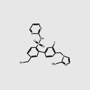 CC(C)Cc1ccc(S(=O)(=O)Nc2ncccn2)c(-c2ccc(Cn3ccnc3C(C)(C)C)c(F)c2)c1